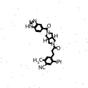 Cc1cc(CCC(=O)N2C[C@@H]3CN(C(=O)c4ccc5[nH]nnc5c4)C[C@H]3C2)c(C(C)C)cc1C#N